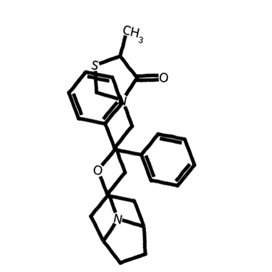 CC1SCN(CCCCN2C3CCC2CC(OC(c2ccccc2)c2ccccc2)C3)C1=O